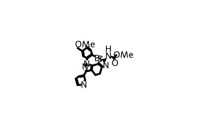 COCc1ccc(Br)c(-n2nc(-c3cccnc3)c3c2-c2sc(NC(=O)OC)nc2CC3)c1